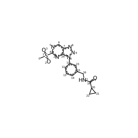 CS(=O)(=O)c1ncc2nnn(-c3cccc(CNC(=O)C4CC4)c3)c2n1